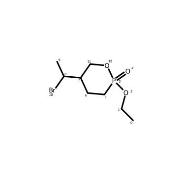 CCOP1(=O)CCC(C(C)Br)CO1